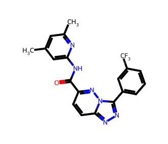 Cc1cc(C)nc(NC(=O)c2ccc3nnc(-c4cccc(C(F)(F)F)c4)n3n2)c1